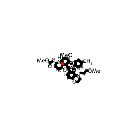 COCCCN1CCOc2ccc(C(O[C@@H]3CC[C@H](CC(C)OC)NC3)(c3ccc(OC)cc3)S(=O)(=O)c3ccc(C)cc3)cc21